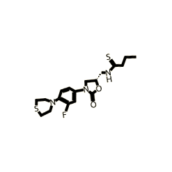 CCCC(=S)NC[C@H]1CN(c2ccc(N3CCSCC3)c(F)c2)C(=O)O1